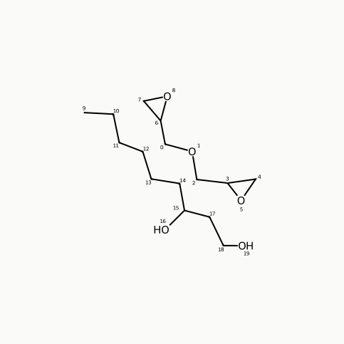 C(OCC1CO1)C1CO1.CCCCCCC(O)CCO